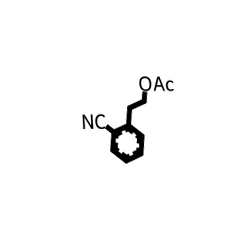 CC(=O)OCCc1ccccc1C#N